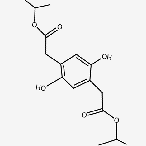 CC(C)OC(=O)Cc1cc(O)c(CC(=O)OC(C)C)cc1O